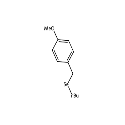 CCCC[Se]Cc1ccc(OC)cc1